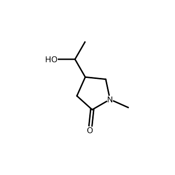 CC(O)C1CC(=O)N(C)C1